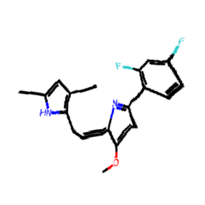 COC1=CC(c2ccc(F)cc2F)=NC1=Cc1[nH]c(C)cc1C